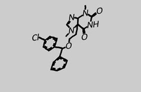 CN1C(=O)NC(=O)C2(CCOC(c3ccccc3)c3ccc(Cl)cc3)C1N=CN2C